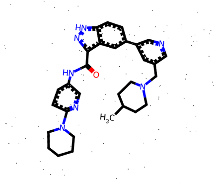 CC1CCN(Cc2cncc(-c3ccc4[nH]nc(C(=O)Nc5ccc(N6CCCCC6)nc5)c4c3)c2)CC1